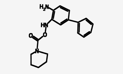 Nc1ccc(-c2ccccc2)cc1NOC(=O)N1CCCCC1